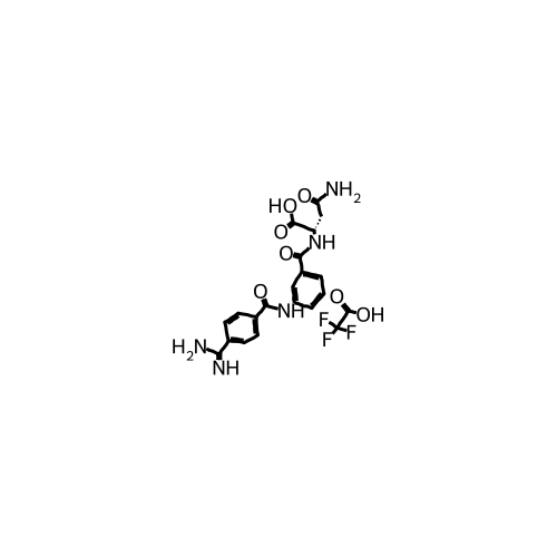 N=C(N)c1ccc(C(=O)Nc2cccc(C(=O)N[C@@H](CC(N)=O)C(=O)O)c2)cc1.O=C(O)C(F)(F)F